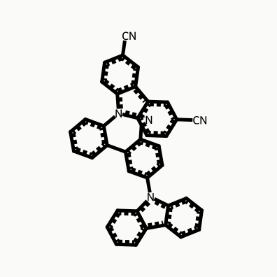 N#Cc1ccc2c(c1)c1cc(C#N)ccc1n2-c1ccccc1-c1cc(-n2c3ccccc3c3ccccc32)ccc1C#N